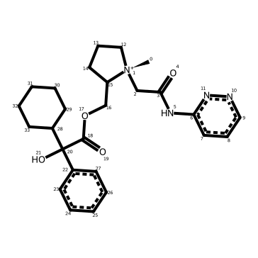 C[N@+]1(CC(=O)Nc2cccnn2)CCCC1COC(=O)C(O)(c1ccccc1)C1CCCCC1